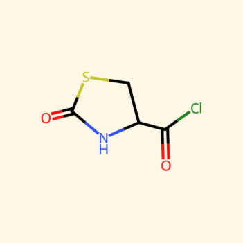 O=C1NC(C(=O)Cl)CS1